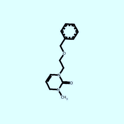 CN1CC=CN(CCOCc2ccccc2)C1=O